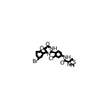 O=C(Nc1ccc(-c2nc3c(oc4ccc(Br)cc43)c(=O)[nH]2)c(Cl)c1)c1csnn1